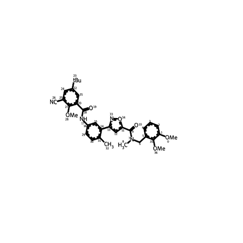 COc1cccc(CN(C)C(=O)c2cc(-c3cc(NC(=O)c4cc(C(C)(C)C)cc(C#N)c4OC)ccc3C)no2)c1OC